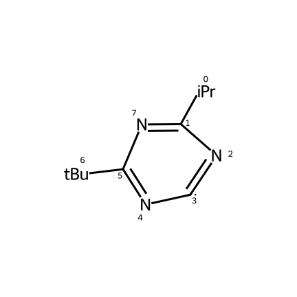 CC(C)c1n[c]nc(C(C)(C)C)n1